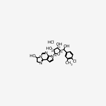 Cc1cc(C(O)[C@H]2O[C@@H](n3ccc4c3N=CN3C4=NCC3O)[C@H](O)[C@@H]2O)ccc1Cl.Cl